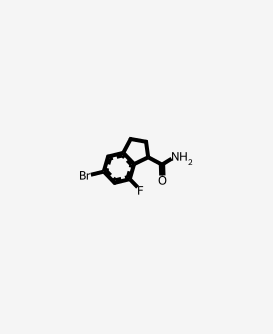 NC(=O)C1CCc2cc(Br)cc(F)c21